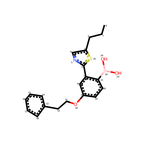 CCCc1cnc(-c2cc(OCCc3ccccc3)ccc2B(O)O)s1